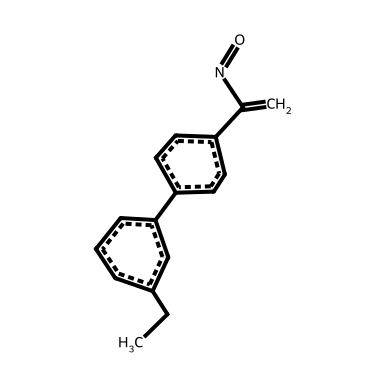 C=C(N=O)c1ccc(-c2cccc(CC)c2)cc1